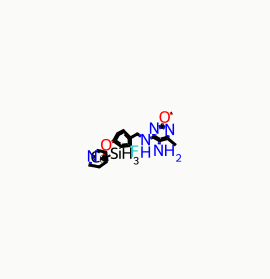 COc1nc(C)c(N)c(NCc2ccc(O[C@@]3([SiH3])CN4CCC3CC4)cc2F)n1